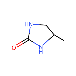 CC1CNC(=O)N1